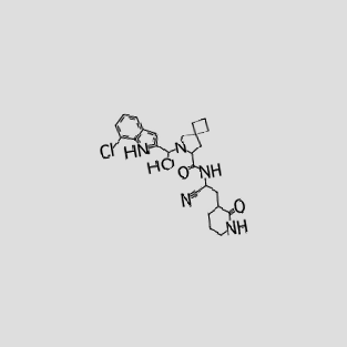 N#CC(CC1CCCNC1=O)NC(=O)C1CC2(CCC2)CN1C(O)c1cc2cccc(Cl)c2[nH]1